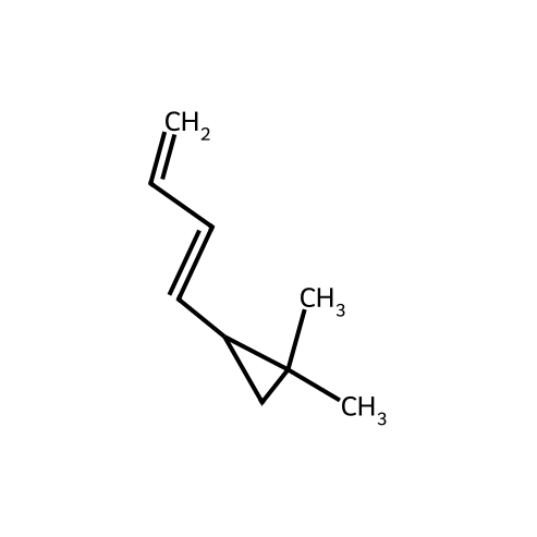 C=CC=CC1CC1(C)C